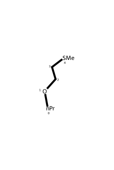 CCCOCCSC